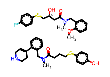 CN(Cc1ccccc1C1=CCNCC1)C(=O)CCCSc1ccc(O)cc1.COc1ccccc1CN(C)C(=O)C[C@H](O)CSc1ccc(F)cc1